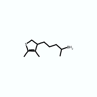 BC(C)CCCC1CSC(C)=C1C